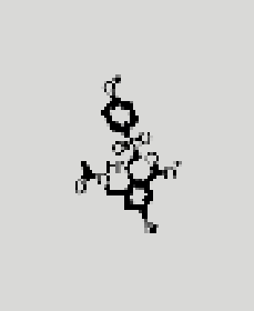 COC(=O)c1cc(Br)cc(COC(C)=O)c1NCS(=O)(=O)c1ccc(OC)cc1